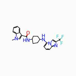 Cn1cc(C(=O)NC2CCC(Nc3cccc4nc(C(F)(F)F)cn34)CC2)c2ccccc21